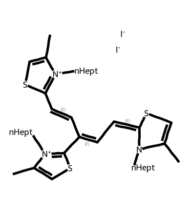 CCCCCCCN1C(C)=CS/C1=C/C=C(\C=C\c1scc(C)[n+]1CCCCCCC)c1scc(C)[n+]1CCCCCCC.[I-].[I-]